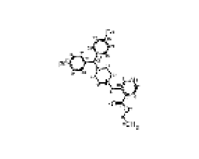 CCOC(=O)c1ccncc1CN1CCN(C(c2ccc(F)cc2)c2ccc(F)cc2)CC1